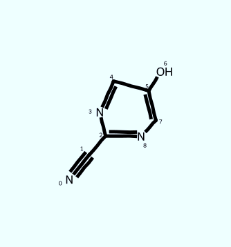 N#Cc1ncc(O)cn1